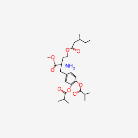 CCC(C)CC(=O)OCC[C@@](N)(Cc1ccc(OC(=O)C(C)C)c(OC(=O)C(C)C)c1)C(=O)OC